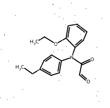 CCOc1ccccc1N(C(=O)C=O)c1ccc(CC)cc1